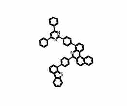 c1ccc(-c2cc(-c3ccccc3)nc(-c3ccc(-c4cccc5c4nc(-c4ccc(-c6cccc7c6sc6ccccc67)cc4)c4ccc6ccccc6c45)cc3)n2)cc1